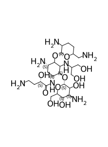 NCC[C@H](O)C(=O)N[C@@H]1C[C@H](N)C(O[C@H]2OC(CN)CCC2N)C(NC(CO)CO)[C@H]1O[C@H]1OC(CO)[C@@H](O)[C@H](N)C1O